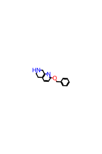 c1ccc(COc2ccc3c(n2)CNCC3)cc1